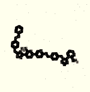 Nc1nc(-c2ccc(OCc3ccc(Cn4nnnc4-c4cccnc4N)cc3)nc2)ccc1-c1noc(Cc2ccc(COc3ccccn3)cc2)n1